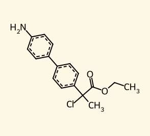 CCOC(=O)C(C)(Cl)c1ccc(-c2ccc(N)cc2)cc1